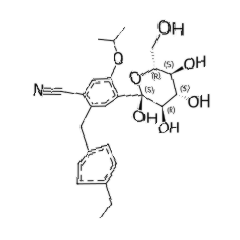 CCc1ccc(Cc2cc([C@]3(O)O[C@H](CO)[C@@H](O)[C@H](O)[C@H]3O)c(OC(C)C)cc2C#N)cc1